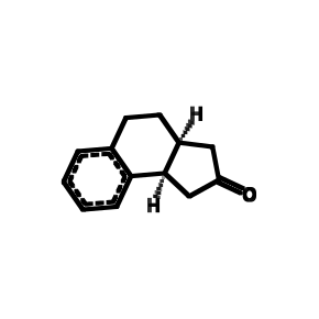 O=C1C[C@@H]2CCc3ccccc3[C@@H]2C1